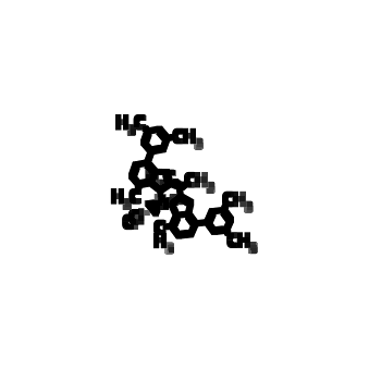 CCC1=Cc2c(-c3cc(C)cc(C)c3)ccc(C)c2[CH]1[Zr+2]1([CH]2C(CC)=Cc3c(-c4cc(C)cc(C)c4)ccc(C)c32)[CH2][CH2]1.[Cl-].[Cl-]